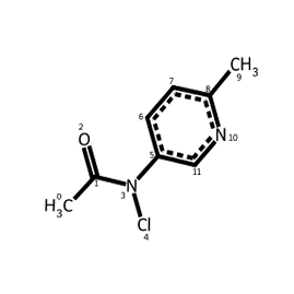 CC(=O)N(Cl)c1ccc(C)nc1